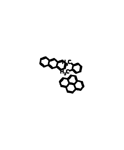 Cc1ccccc1C.c1cc2ccc3cccc4ccc(c1)c2c34.c1ccc2cc3ccccc3cc2c1